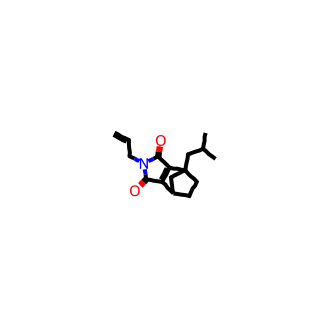 C=CCN1C(=O)C2=C(C1=O)C1(CC(C)C)CCC2C1